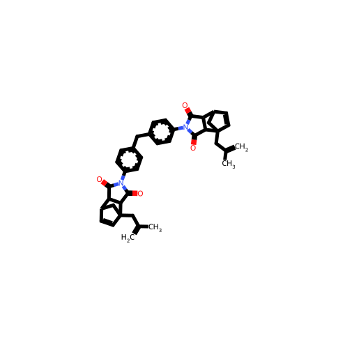 C=C(C)CC12C=CC(C1)C1C(=O)N(c3ccc(Cc4ccc(N5C(=O)C6C7C=CC(CC(=C)C)(C7)C6C5=O)cc4)cc3)C(=O)C12